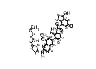 COCCNC[C@@H]1CC[C@@H](Nc2ncc3cc(-c4c(F)ccc(NS(=O)(=O)c5cc(Cl)cc6c5CC[C@H]6O)c4F)cc(OC)c3n2)C1